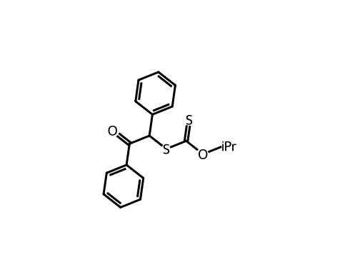 CC(C)OC(=S)SC(C(=O)c1ccccc1)c1ccccc1